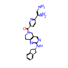 N/C=C(\N)c1ccc(C(=O)N2CCc3nc(NC4Cc5ccccc5C4)ncc3C2)cn1